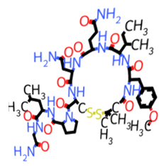 CCC(C)C1NC(=O)C(Cc2ccc(OC)cc2)NC(=O)CC(C)(C)SSCC(C(=O)N2CCCC2C(=O)NC(CC(C)C)C(=O)NCC(N)=O)NC(=O)C(CC(N)=O)NC(=O)C(CCC(N)=O)NC1=O